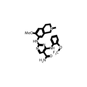 COc1cc2c(cc1Nc1ncc(C(N)=O)c(Nc3ccccc3OC(F)(F)F)n1)CN(C)CC2